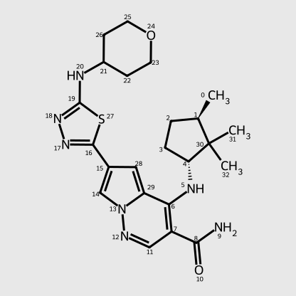 C[C@@H]1CC[C@@H](Nc2c(C(N)=O)cnn3cc(-c4nnc(NC5CCOCC5)s4)cc23)C1(C)C